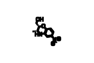 C[C@H]1Nc2cc([N+](=O)[O-])ccc2O[C@H]1CO